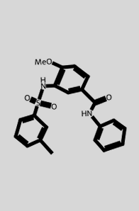 COc1ccc(C(=O)Nc2ccccc2)cc1NS(=O)(=O)c1cccc(C)c1